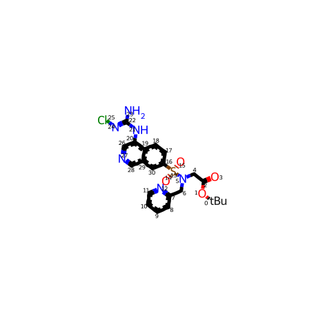 CC(C)(C)OC(=O)CN(Cc1ccccn1)S(=O)(=O)c1ccc2c(NC(N)=NCl)cncc2c1